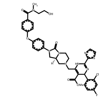 COC(=O)C1=C(CN2CCN3C(=O)N(c4ccc(Oc5ccc(C(=O)N(C)CCO)cc5)cc4)C[C@@H]3C2)NC(c2nccs2)=NC1c1ccc(F)cc1Cl